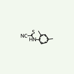 Cc1ccc(NC(=S)C#N)c(C)c1